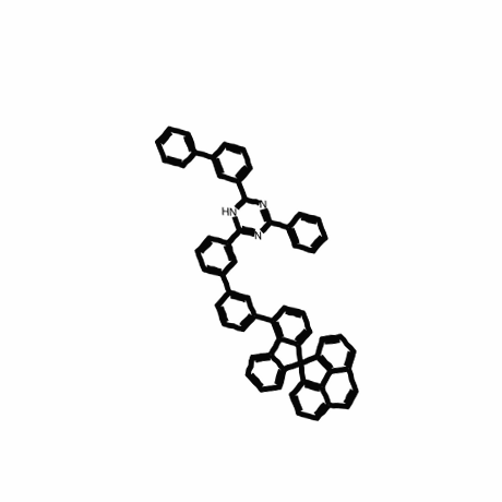 c1ccc(C2=NC(c3cccc(-c4ccccc4)c3)NC(c3cccc(-c4cccc(-c5cccc6c5-c5ccccc5C65c6cccc7ccc8cccc5c8c67)c4)c3)=N2)cc1